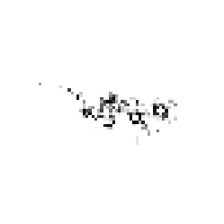 COCCOCCn1cc(CC(C(=O)N[C@H](C(=O)N[C@@H](C)C(=O)Nc2ccc(COC(=O)C(C)(C)C)c(CC[C@@H]3O[C@H](C(=O)O)[C@@H](O)[C@H](O)[C@H]3O)c2)C(C)C)N2C(=O)C=CC2=O)cn1